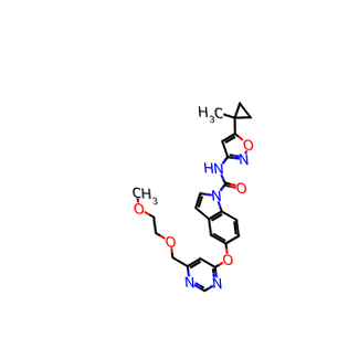 COCCOCc1cc(Oc2ccc3c(ccn3C(=O)Nc3cc(C4(C)CC4)on3)c2)ncn1